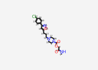 CNC(=O)COC(=O)N1CCN(CCCc2cc(-c3ccc(Cl)cc3)no2)CC1